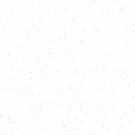 Cc1cc2c(c(-c3ccc(F)cc3)c1)OCCC2=O